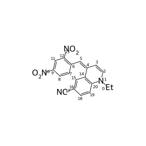 CCN1C=C/C(=C/c2ccc([N+](=O)[O-])cc2[N+](=O)[O-])c2cc(C#N)ccc21